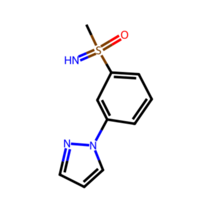 CS(=N)(=O)c1cccc(-n2cccn2)c1